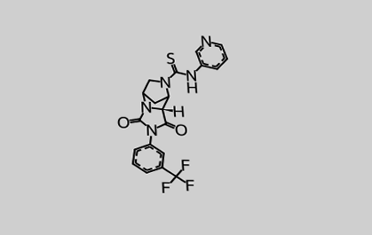 O=C1[C@H]2C3CC(CN3C(=S)Nc3cccnc3)N2C(=O)N1c1cccc(C(F)(F)F)c1